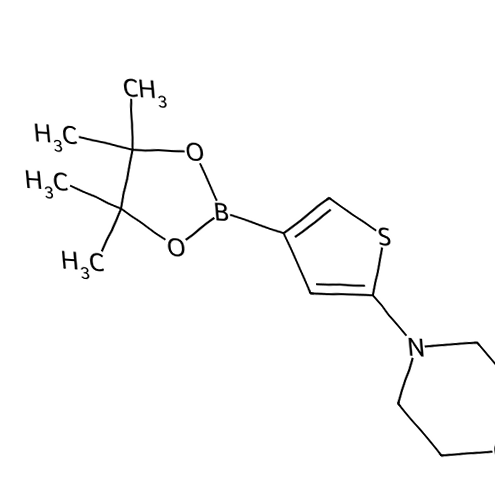 CC1(C)OB(c2csc(N3CCOCC3)c2)OC1(C)C